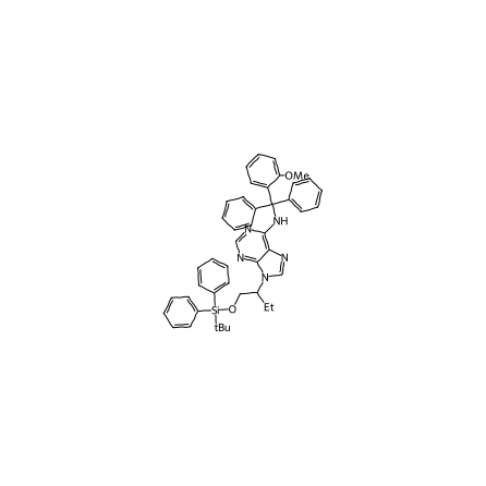 CCC(CO[Si](c1ccccc1)(c1ccccc1)C(C)(C)C)n1cnc2c(NC(c3ccccc3)(c3ccccc3)c3ccccc3OC)ncnc21